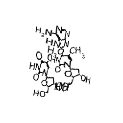 Cc1cn([C@H]2C[C@H](O)[C@@H](CO)O2)c(=O)[nH]c1=O.Cc1cn([C@H]2C[C@H](O)[C@@H](CO)O2)c(=O)[nH]c1=O.Nc1ncnc2nc[nH]c12